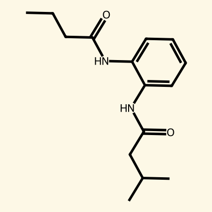 CCCC(=O)Nc1ccccc1NC(=O)CC(C)C